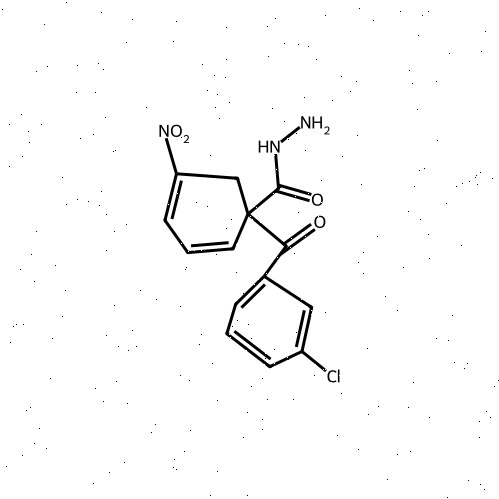 NNC(=O)C1(C(=O)c2cccc(Cl)c2)C=CC=C([N+](=O)[O-])C1